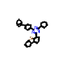 c1ccc(-c2nc(-c3ccc(C4CC5CCC4C5)cc3)nc(-c3cccc4c3sc3ccccc34)n2)cc1